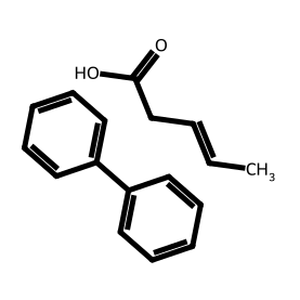 CC=CCC(=O)O.c1ccc(-c2ccccc2)cc1